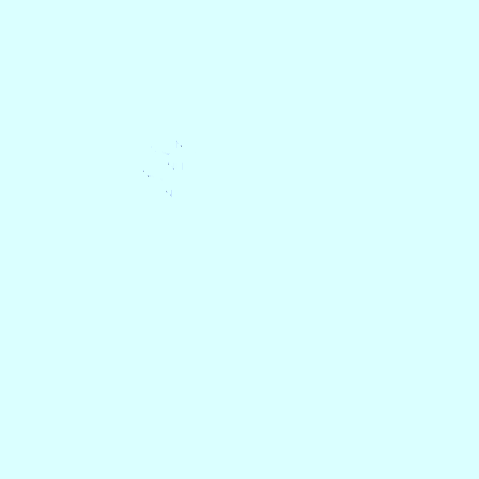 CCCCCCCCCCCCCCCCCNC(=N)NC(N)=S